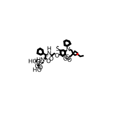 CCCCC1(CC)CN(c2ccccc2)c2cc(SC)c(OCC(=O)N[C@@H](C(=O)NCP(=O)(OO)OO)c3ccccc3)cc2S(=O)(=O)C1